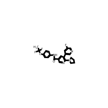 CC(F)(F)Oc1ccc(NC(=O)c2cnc(N3CCCC3)c(-c3cncc(F)c3)c2)cc1